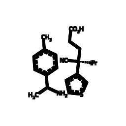 CC(C)[C@](C#N)(CCC(=O)O)c1ccsc1.Cc1ccc(C(C)N)cc1